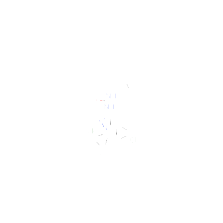 C=CCC(CC)C(C)CCCNC(=O)NCc1nn(-c2ccc(Cl)cc2Cl)c(-c2ccc(Cl)cc2)c1C